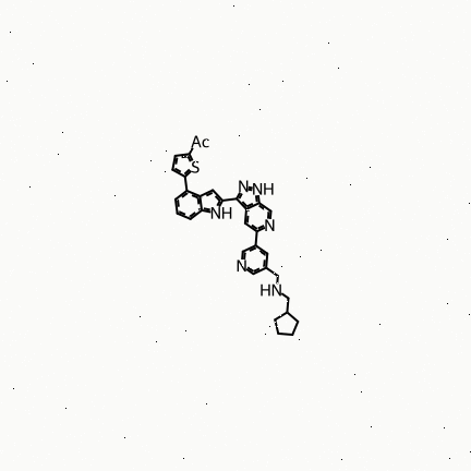 CC(=O)c1ccc(-c2cccc3[nH]c(-c4n[nH]c5cnc(-c6cncc(CNCC7CCCC7)c6)cc45)cc23)s1